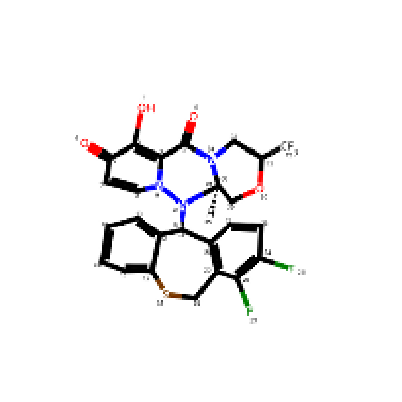 O=C1c2c(O)c(=O)ccn2N([C@@H]2c3ccccc3SCc3c2ccc(F)c3F)[C@@H]2COC(C(F)(F)F)CN12